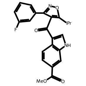 COC(=O)c1ccc2c(C(=O)c3c(-c4cccc(F)c4)noc3C(C)C)c[nH]c2c1